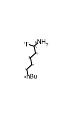 CCCCCCCCC(N)F